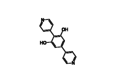 Oc1cc(-c2ccncc2)cc(O)c1-c1ccncc1